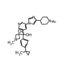 CC(=O)N1CCC(c2cn(-c3cncc(C(O)(c4ccc(C5(C)CC5)cc4)C4(C)CN(C)C4)c3)cn2)CC1